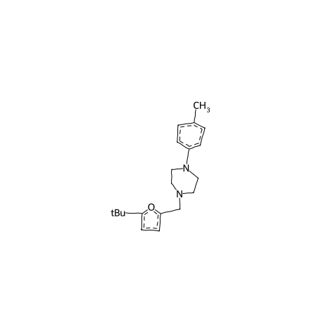 Cc1ccc(N2CCN(Cc3ccc(C(C)(C)C)o3)CC2)cc1